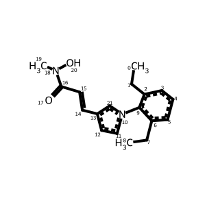 CCc1cccc(CC)c1-n1ccc(C=CC(=O)N(C)O)c1